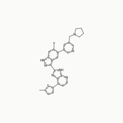 Cc1ccc(-c2ccnc3[nH]c(-c4n[nH]c5cc(F)c(-c6cncc(CN7CCCC7)c6)cc45)nc23)s1